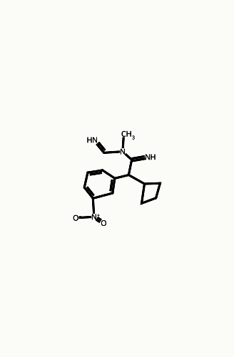 CN(C=N)C(=N)C(c1cccc([N+](=O)[O-])c1)C1CCC1